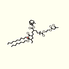 CCCCCCCCCCOC(=O)C(CCC(CCC(C)(C)C(=O)OCCOC(=O)CC(C)=O)C(=O)OC1CC2CCC1(C)C2(C)C)CC(CC)C(=O)OCCCCCCCC